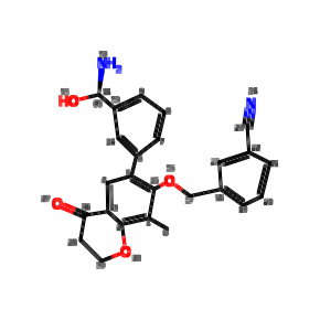 Cc1c2c(cc(-c3cccc([C@H](N)O)c3)c1OCc1cccc(C#N)c1)C(=O)CCO2